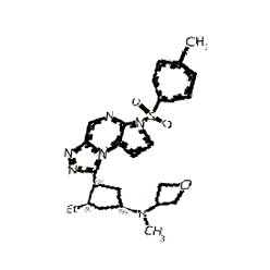 CC[C@@H]1C[C@H](N(C)C2COC2)C[C@@H]1c1nnc2cnc3c(ccn3S(=O)(=O)c3ccc(C)cc3)n12